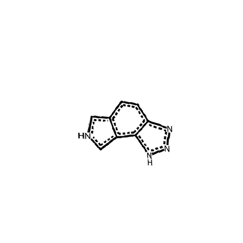 c1cc2nn[nH]c2c2c[nH]cc12